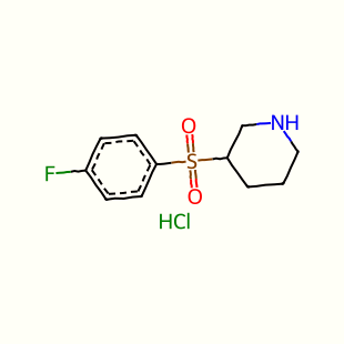 Cl.O=S(=O)(c1ccc(F)cc1)C1CCCNC1